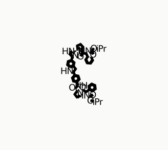 CC(C)OC(=O)N[C@@H](C(=O)N1CCC[C@H]1C(=O)Nc1ccc(C2Cc3cc(-c4c[nH]c([C@@H]5CCCN5C(=O)[C@H](NC(=O)OC(C)C)[C@H]5C=CC=CC5)n4)ccc3N2)cc1)c1ccccc1